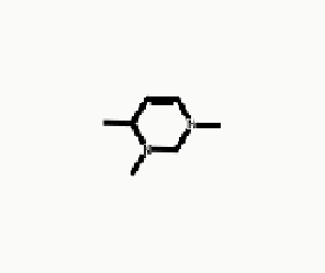 CC1C=CN(C)CN1C